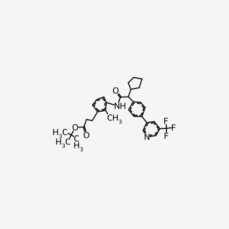 Cc1c(CCC(=O)OC(C)(C)C)cccc1NC(=O)C(c1ccc(-c2cncc(C(F)(F)F)c2)cc1)C1CCCC1